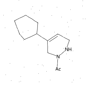 CC(=O)N1CC(C2CCCCC2)=CCN1